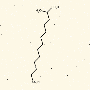 CC(CCCCCCCCCCC(=O)O)C(=O)O